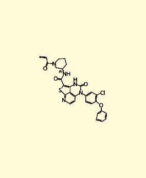 C=CC(=O)N1CCC[C@@H](NC(=O)c2sc3nccc4c3c2NC(=O)N4c2ccc(Oc3ccccc3)c(Cl)c2)C1